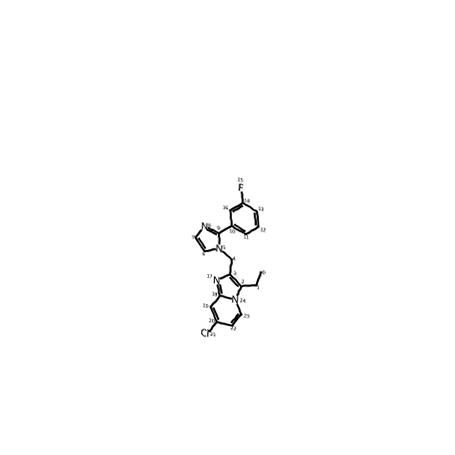 CCc1c(Cn2ccnc2-c2cccc(F)c2)nc2cc(Cl)ccn12